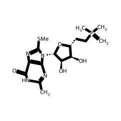 C=P(C)(C)CC[C@H]1O[C@@H](n2c(SC)nc3c(=O)[nH]c(C)nc32)[C@H](O)[C@@H]1O